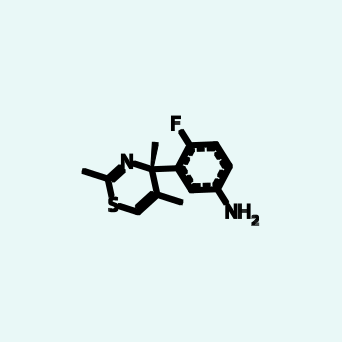 CC1=CSC(C)=N[C@]1(C)c1cc(N)ccc1F